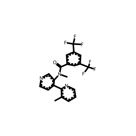 Cc1cccnc1-c1ccncc1N(C)C(=O)c1cc(C(F)(F)F)cc(C(F)(F)F)c1